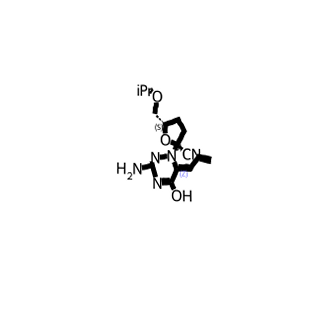 C=C/C=C1/C(O)=NC(N)=NN1[C@@]1(C#N)CC[C@@H](COC(C)C)O1